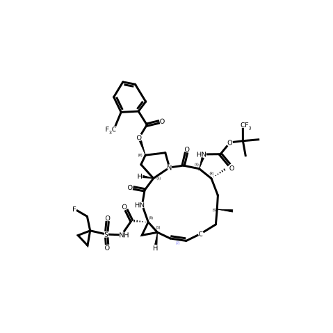 C[C@H]1CC/C=C\[C@@H]2C[C@@]2(C(=O)NS(=O)(=O)C2(CF)CC2)NC(=O)[C@@H]2C[C@@H](OC(=O)c3ccccc3C(F)(F)F)CN2C(=O)[C@@H](NC(=O)OC(C)(C)C(F)(F)F)[C@H](C)C1